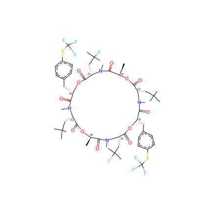 C[C@H]1OC(=O)[C@H](CC(C)(C)C)N(C)C(=O)[C@H](Cc2ccc(SC(F)(F)F)cc2)OC(=O)[C@H](CC(C)(C)F)N(C)C(=O)[C@@H](C)OC(=O)[C@H](CC(C)(C)C)N(C)C(=O)[C@H](Cc2ccc(SC(F)(F)F)cc2)OC(=O)[C@H](CC(C)(C)F)N(C)C1=O